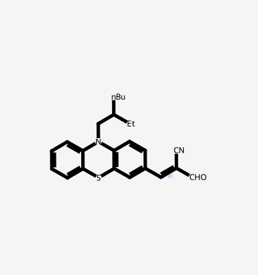 CCCCC(CC)CN1c2ccccc2Sc2cc(/C=C(\C#N)C=O)ccc21